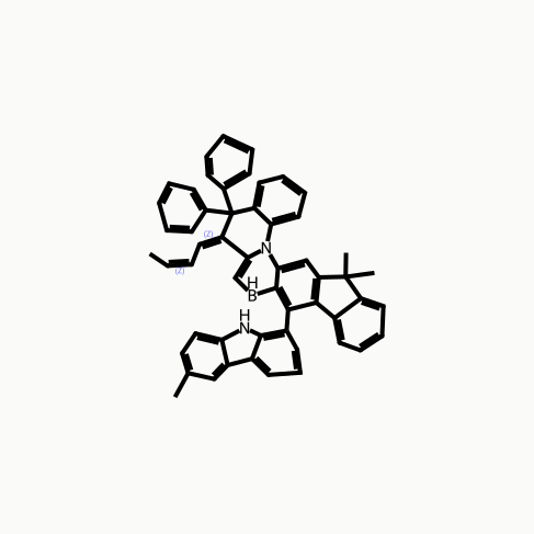 C/C=C\C=C1/C2=CBc3c(cc4c(c3-c3cccc5c3[nH]c3ccc(C)cc35)-c3ccccc3C4(C)C)N2c2ccccc2C1(c1ccccc1)c1ccccc1